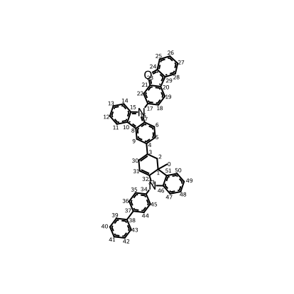 CC12CC(c3ccc4c(c3)c3ccccc3n4-c3ccc4c(c3)oc3ccccc34)=CC=C1N(c1ccc(-c3ccccc3)cc1)c1ccccc12